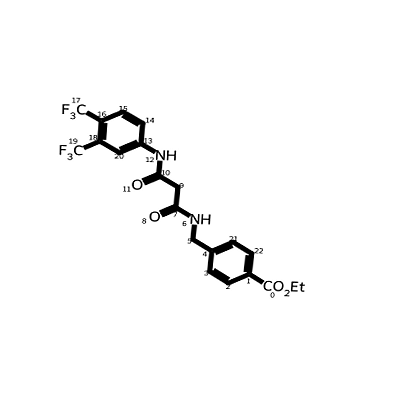 CCOC(=O)c1ccc(CNC(=O)CC(=O)Nc2ccc(C(F)(F)F)c(C(F)(F)F)c2)cc1